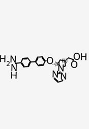 N=C(N)c1ccc(-c2ccc(OC[C@@H]3C[C@@H](CC(=O)O)CN3c3ncccn3)cc2)cc1